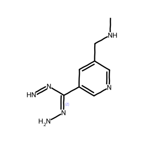 CNCc1cncc(/C(N=N)=N/N)c1